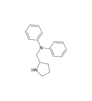 c1ccc(N(CC2CCCN2)c2ccccc2)cc1